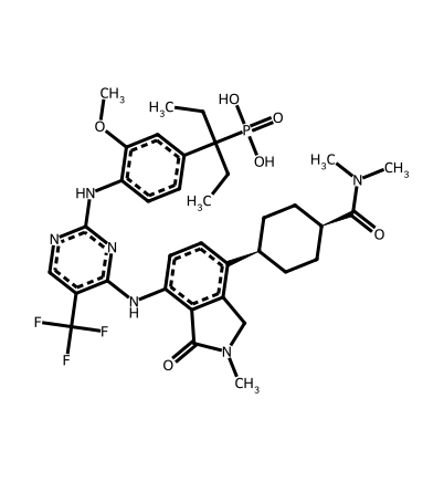 CCC(CC)(c1ccc(Nc2ncc(C(F)(F)F)c(Nc3ccc([C@H]4CC[C@@H](C(=O)N(C)C)CC4)c4c3C(=O)N(C)C4)n2)c(OC)c1)P(=O)(O)O